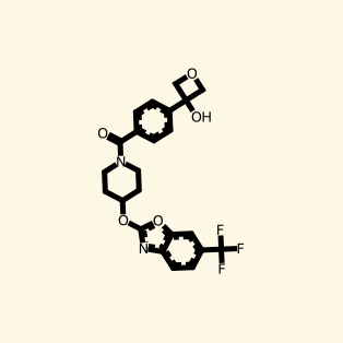 O=C(c1ccc(C2(O)COC2)cc1)N1CCC(Oc2nc3ccc(C(F)(F)F)cc3o2)CC1